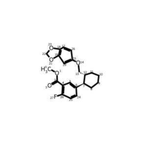 COC(=O)c1cc([C@@H]2CCCC[C@H]2COc2ccc3c(c2)OCO3)ccc1F